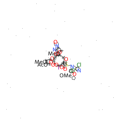 COc1ccc(N(CCS[C@@H]2C(=O)O[C@@]3(C)[C@H]2[C@@H](C)C(=O)[C@H](C)C[C@@](C)(OC)[C@H](O[C@@H]2O[C@H](C)C[C@@H](N4CCOCC4)[C@@H]2N(C)C)[C@@H](C)[C@H](O[C@H]2C[C@@](C)(OC)[C@@H](OC(C)=O)[C@H](C)O2)[C@@H](C)C(=O)O[C@@H]3I)Cc2c(Cl)cncc2Cl)cc1OC1CCCC1